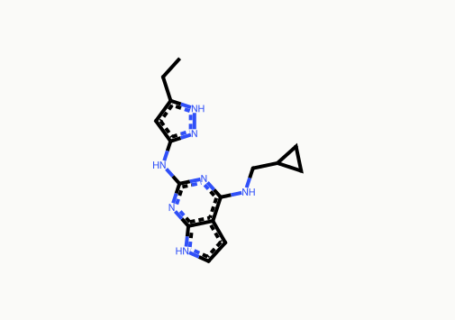 CCc1cc(Nc2nc(NCC3CC3)c3cc[nH]c3n2)n[nH]1